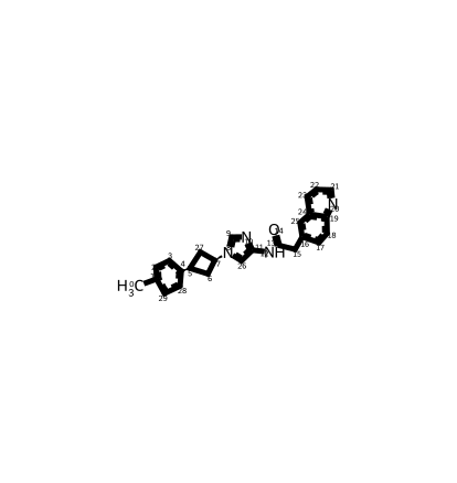 Cc1ccc([C@H]2C[C@@H](n3cnc(NC(=O)Cc4ccc5ncccc5c4)c3)C2)cc1